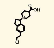 O=C(O)C1CCN(C2CCc3cc(CCCl)ccc32)CC1